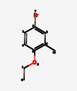 CCOc1ccc(Br)cc1C